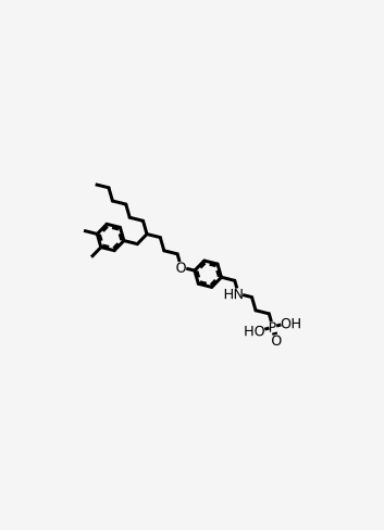 CCCCCCC(CCCOc1ccc(CNCCCP(=O)(O)O)cc1)Cc1ccc(C)c(C)c1